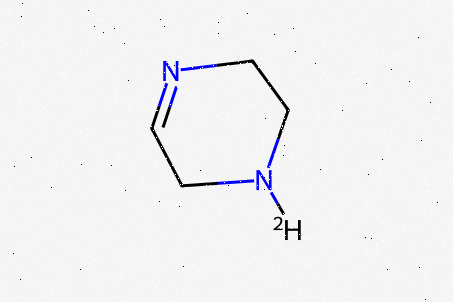 [2H]N1CC=NCC1